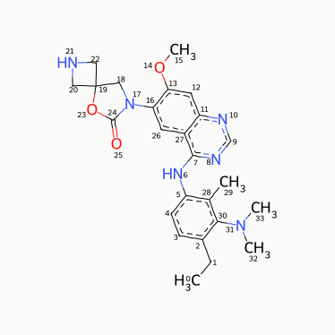 CCc1ccc(Nc2ncnc3cc(OC)c(N4CC5(CNC5)OC4=O)cc23)c(C)c1N(C)C